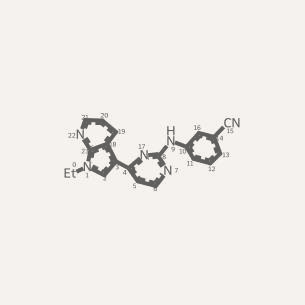 CCn1cc(-c2ccnc(Nc3cccc(C#N)c3)n2)c2cccnc21